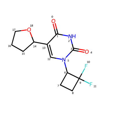 O=c1[nH]c(=O)n(C2CCC2(F)F)cc1C1CCCO1